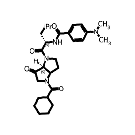 CC(C)C[C@H](NC(=O)c1ccc(N(C)C)cc1)C(=O)N1CCC2[C@H]1C(=O)CN2C(=O)C1CCCCC1